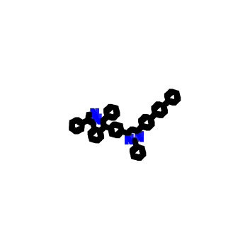 c1ccc(-c2ccc(-c3ccc(-c4cc(-c5ccc(-c6c(-c7ccccc7)n7ncc(-c8ccccc8)c7c7ccccc67)cc5)nc(-c5ccccc5)n4)cc3)cc2)cc1